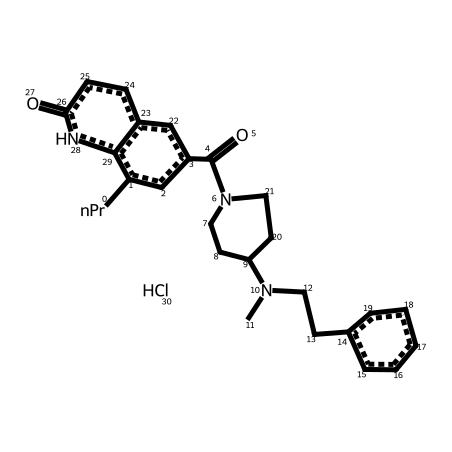 CCCc1cc(C(=O)N2CCC(N(C)CCc3ccccc3)CC2)cc2ccc(=O)[nH]c12.Cl